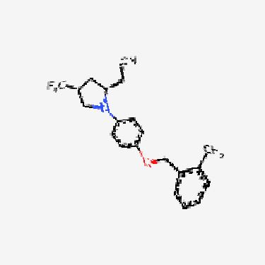 Cc1ccccc1COc1ccc(N2C[C@@H](C(F)(F)F)C[C@H]2CC#N)cc1